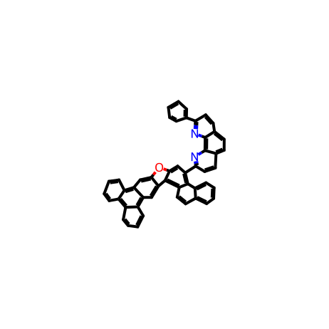 c1ccc(-c2ccc3ccc4ccc(-c5cc6oc7cc8c9ccccc9c9ccccc9c8cc7c6c6ccc7ccccc7c56)nc4c3n2)cc1